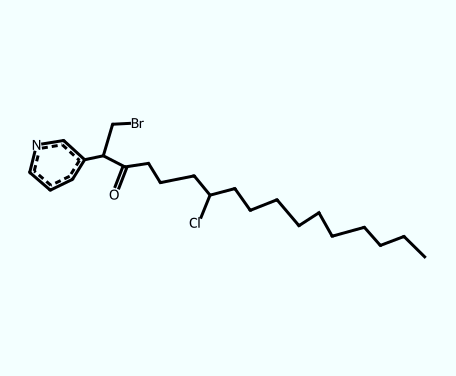 CCCCCCCCCCC(Cl)CCCC(=O)C(CBr)c1cccnc1